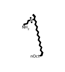 C=CC(CCCCCCCCCCCC/C=C\CCCCCCCC)[N+](C)(C)CCCN